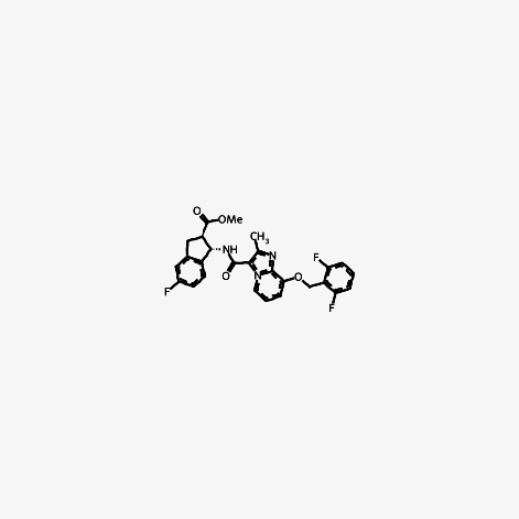 COC(=O)[C@@H]1Cc2cc(F)ccc2[C@H]1NC(=O)c1c(C)nc2c(OCc3c(F)cccc3F)cccn12